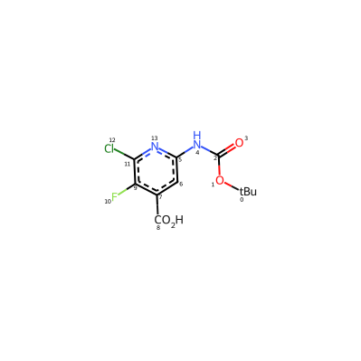 CC(C)(C)OC(=O)Nc1cc(C(=O)O)c(F)c(Cl)n1